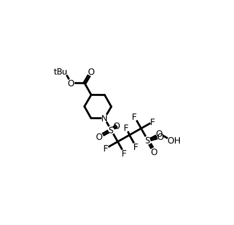 CC(C)(C)OC(=O)C1CCN(S(=O)(=O)C(F)(F)C(F)(F)C(F)(F)S(=O)(=O)OO)CC1